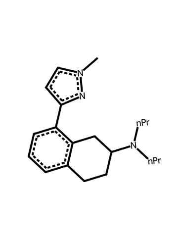 CCCN(CCC)C1CCc2cccc(-c3ccn(C)n3)c2C1